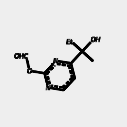 CCC(C)(O)c1ccnc(OC=O)n1